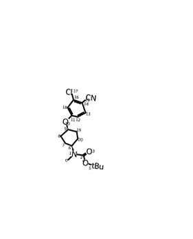 CN(C(=O)OC(C)(C)C)[C@H]1CC[C@@H](Oc2ccc(C#N)c(Cl)c2)CC1